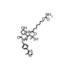 Cc1ncsc1-c1ccc(CNC(=O)[C@@H]2C[C@@H](O)CN2C(=O)[C@@H](NC(=O)CCCCCCOC(N)=O)C(C)(C)S)cc1